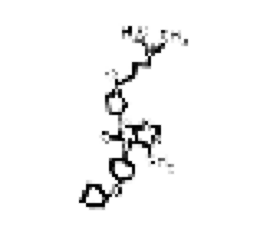 CCN(CC)CC=CC(=O)N1CC[C@@H](n2c(=O)n(-c3ccc(Oc4ccccc4)cc3)c3c(N)ncnc32)C1